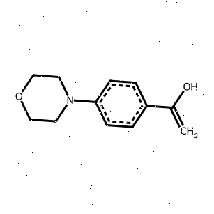 C=C(O)c1ccc(N2CCOCC2)cc1